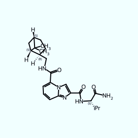 CC(C)[C@H](NC(=O)c1cn2c(C(=O)NC[C@@H]3CC[C@H]4C[C@@H]3C4(C)C)cccc2n1)C(N)=O